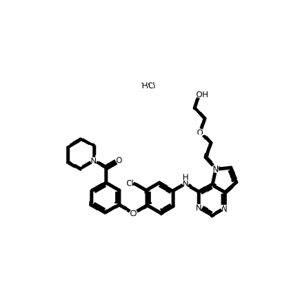 Cl.O=C(c1cccc(Oc2ccc(Nc3ncnc4ccn(CCOCCO)c34)cc2Cl)c1)N1CCCCC1